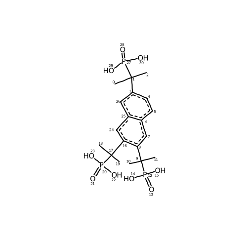 CC(C)(c1ccc2cc(C(C)(C)P(=O)(O)O)c(C(C)(C)P(=O)(O)O)cc2c1)P(=O)(O)O